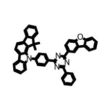 CC1(C)c2ccccc2-c2ccc3c4ccccc4n(-c4ccc(-c5nc(-c6ccccc6)nc(-c6ccc7oc8ccccc8c7c6)n5)cc4)c3c21